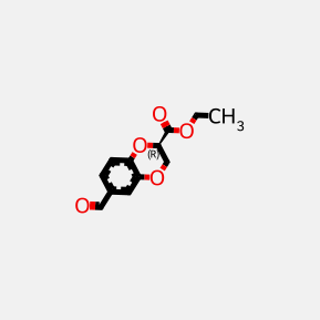 CCOC(=O)[C@H]1COc2cc(C=O)ccc2O1